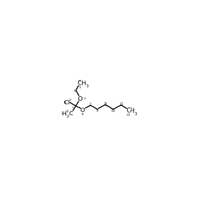 [CH2]C(Cl)(OCC)OCCCCCC